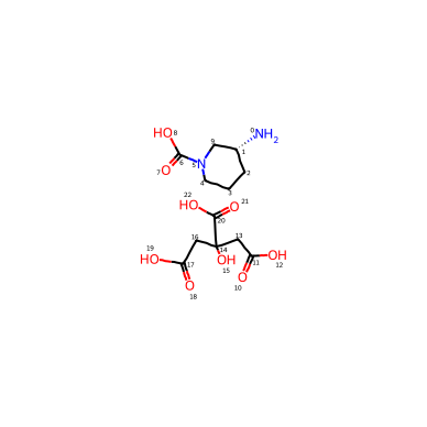 N[C@@H]1CCCN(C(=O)O)C1.O=C(O)CC(O)(CC(=O)O)C(=O)O